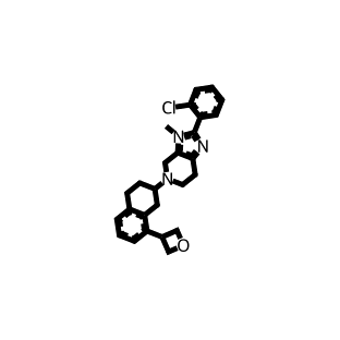 Cn1c(-c2ccccc2Cl)nc2c1CN(C1CCc3cccc(C4COC4)c3C1)CC2